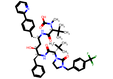 CN(C(=O)O)[C@H](C(=O)N[C@@H](Cc1ccc(-c2ccccn2)cc1)C[C@H](O)[C@H](Cc1ccccc1)NC(=O)[C@@H](N1CCN(Cc2ccc(C(F)(F)F)cc2)C1=O)C(C)(C)C)C(C)(C)C